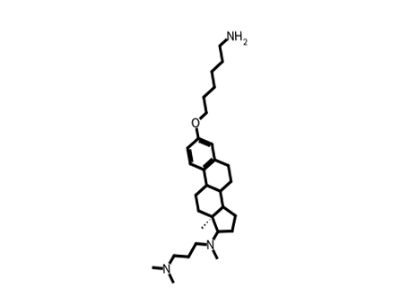 CN(C)CCCN(C)C1CCC2C3CCc4cc(OCCCCCCN)ccc4C3CC[C@@]21C